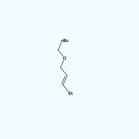 [CH2]CCCCOC/C=C/CC